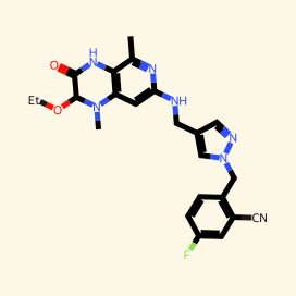 CCOC1C(=O)Nc2c(cc(NCc3cnn(Cc4ccc(F)cc4C#N)c3)nc2C)N1C